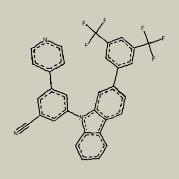 N#Cc1cc(-c2ccncc2)cc(-n2c3ccccc3c3ccc(-c4cc(C(F)(F)F)cc(C(F)(F)F)c4)cc32)c1